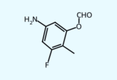 Cc1c(F)cc(N)cc1OC=O